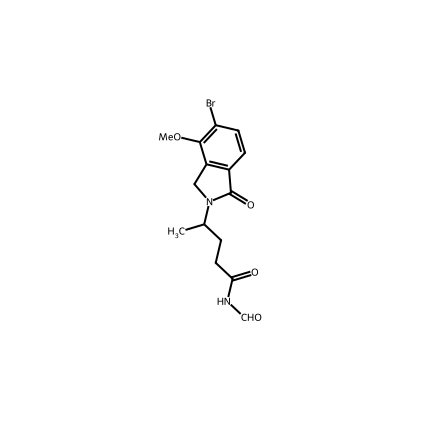 COc1c(Br)ccc2c1CN(C(C)CCC(=O)NC=O)C2=O